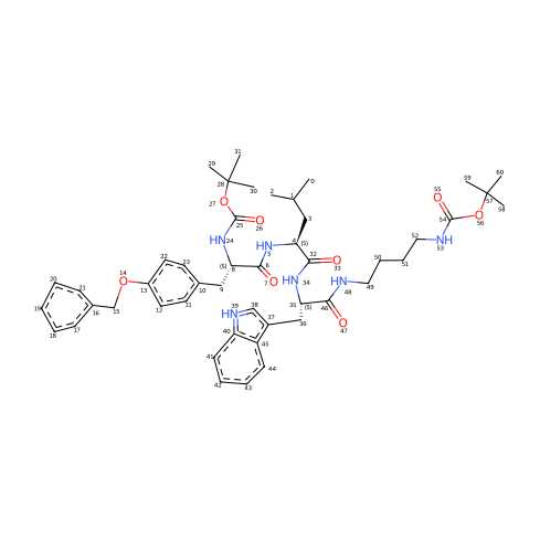 CC(C)C[C@H](NC(=O)[C@H](Cc1ccc(OCc2ccccc2)cc1)NC(=O)OC(C)(C)C)C(=O)N[C@@H](Cc1c[nH]c2ccccc12)C(=O)NCCCCNC(=O)OC(C)(C)C